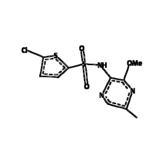 COc1nc(C)cnc1NS(=O)(=O)c1ccc(Cl)s1